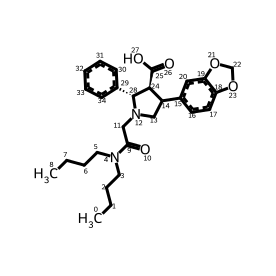 CCCCN(CCCC)C(=O)CN1CC(c2ccc3c(c2)OCO3)[C@H](C(=O)O)[C@H]1c1ccccc1